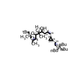 C/C=C/C(O[Si](C)(C)C(C)(C)C)C(C)(C)C(O)C/C=C\[C@H]1C[C@H]1/C=[CH]/[Sn]([CH2]CCC)([CH2]CCC)[CH2]CCC